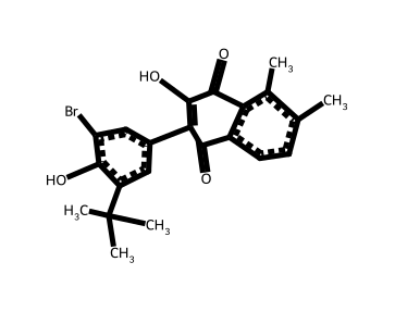 Cc1ccc2c(c1C)C(=O)C(O)=C(c1cc(Br)c(O)c(C(C)(C)C)c1)C2=O